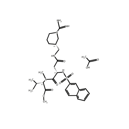 CC(=O)O.COC(=O)[C@H](C(C)C)N(C)C(=O)[C@H](CC(=O)NC[C@@H]1CCCN(C(=N)N)C1)NS(=O)(=O)c1ccc2ccccc2c1